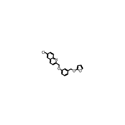 Clc1ccc2nc(COc3cccc(COc4ccco4)c3)ccc2c1